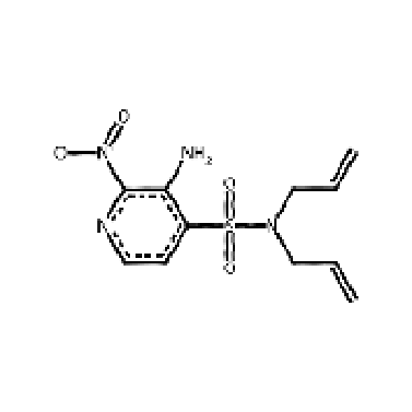 C=CCN(CC=C)S(=O)(=O)c1ccnc([N+](=O)[O-])c1N